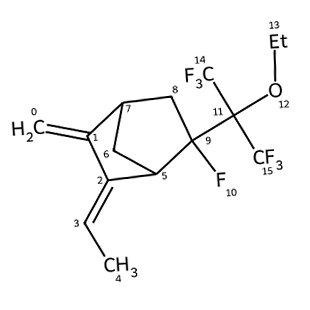 C=C1C(=CC)C2CC1CC2(F)C(OCC)(C(F)(F)F)C(F)(F)F